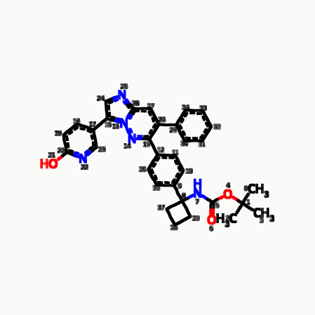 CC(C)(C)OC(=O)NC1(c2ccc(-c3nn4c(-c5ccc(O)nc5)cnc4cc3-c3ccccc3)cc2)CCC1